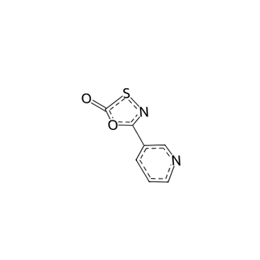 O=c1oc(-c2cccnc2)ns1